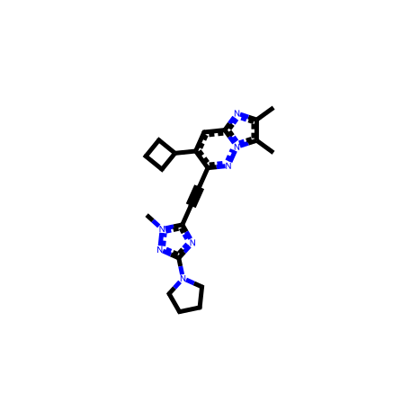 Cc1nc2cc(C3CCC3)c(C#Cc3nc(N4CCCC4)nn3C)nn2c1C